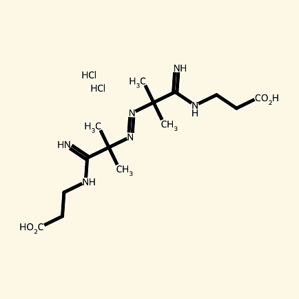 CC(C)(N=NC(C)(C)C(=N)NCCC(=O)O)C(=N)NCCC(=O)O.Cl.Cl